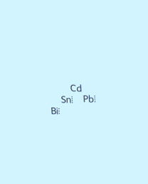 [Bi].[Cd].[Pb].[Sn]